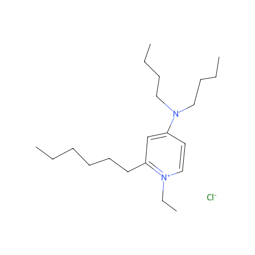 CCCCCCc1cc(N(CCCC)CCCC)cc[n+]1CC.[Cl-]